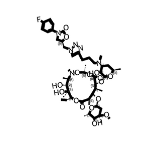 CC[C@H]1OC(=O)[C@H](C)[C@@H](O[C@H]2C[C@@](C)(OC)[C@@H](O)[C@H](C)O2)[C@H](C)[C@@H](O[C@@H]2O[C@H](C)C[C@H](N(C)CCCc3cn(C[C@H]4CN(c5ccc(F)cc5)C(=O)O4)nn3)[C@H]2O)[C@](C)(O)C[C@@H](C)CN(C)[C@H](C)[C@@H](O)[C@]1(C)O